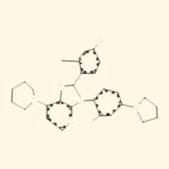 Nc1ccc(C2Nc3c(N4CCCCC4)ccnc3N2c2ccc(N3CCCC3)cc2F)c(F)c1